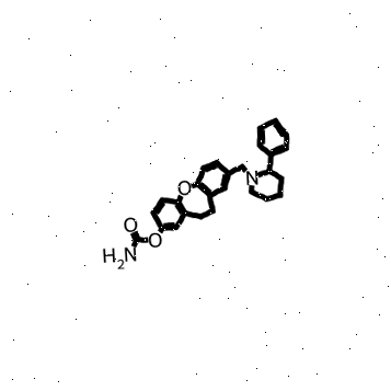 NC(=O)Oc1ccc2c(c1)CCc1cc(CN3CCCCC3c3ccccc3)ccc1O2